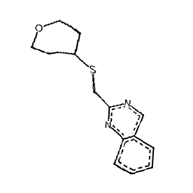 c1ccc2nc(CSC3CCOCC3)ncc2c1